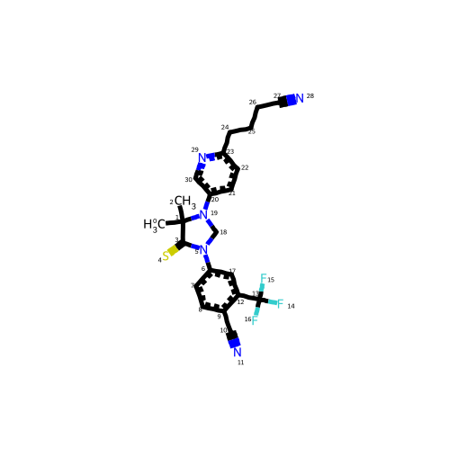 CC1(C)C(=S)N(c2ccc(C#N)c(C(F)(F)F)c2)CN1c1ccc(CCCC#N)nc1